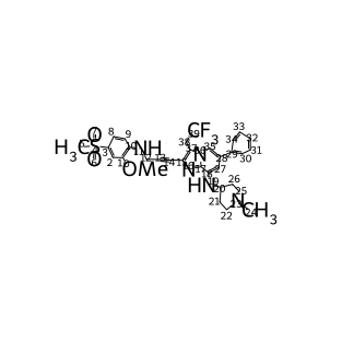 COc1cc(S(C)(=O)=O)ccc1NCC#Cc1nc2c(NC3CCN(C)CC3)cc(-c3ccccc3)cn2c1CC(F)(F)F